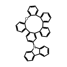 c1ccc2c(c1)Oc1ccccc1-c1ccc(-n3c4ccccc4c4ccccc43)cc1-c1ccccc1-c1ccccc1-2